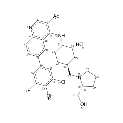 CC(=O)c1cnc2ccc(-c3cc(F)c(O)c(Cl)c3)cc2c1N[C@H]1CC[C@H](CN2CCC[C@@H]2CO)CC1.Cl